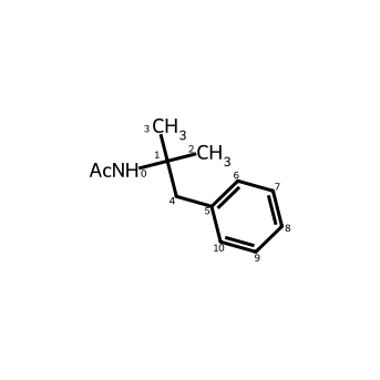 CC(=O)NC(C)(C)Cc1ccccc1